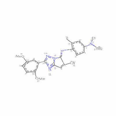 CCCCN(CC)c1ccc(/N=C2\C(C#N)=Cc3nc(-c4cc(OC)ccc4OC)nn32)c(C)c1